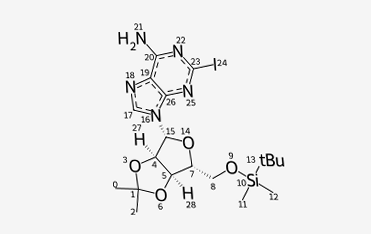 CC1(C)O[C@@H]2[C@H](O1)[C@@H](CO[Si](C)(C)C(C)(C)C)O[C@H]2n1cnc2c(N)nc(I)nc21